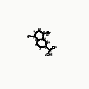 O=C(O)c1ccc2c(F)ccc(Br)c2n1